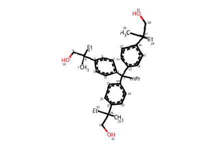 CCCC(c1ccc(C(C)(CC)CO)cc1)(c1ccc(C(C)(CC)CO)cc1)c1ccc(C(C)(CC)CO)cc1